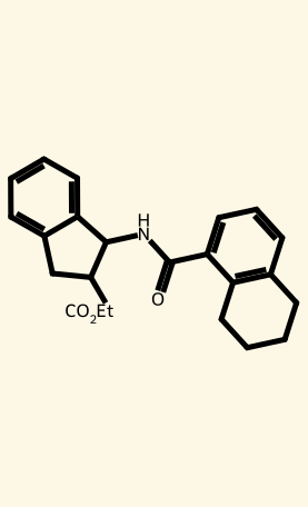 CCOC(=O)C1Cc2ccccc2C1NC(=O)c1cccc2c1CCCC2